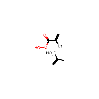 C=C(C)C(=O)O.C=C(CC)C(=O)OO